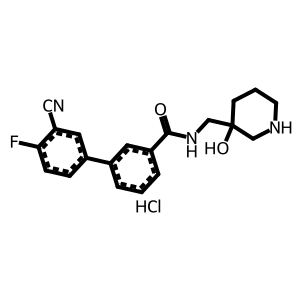 Cl.N#Cc1cc(-c2cccc(C(=O)NCC3(O)CCCNC3)c2)ccc1F